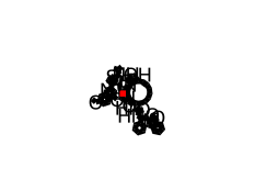 COc1ccc2c(O[C@@H]3C[C@H]4C(=O)N[C@]5(C(=O)O)CC5/C=C\CCCCC[C@H](NC(=O)NC(CN5Cc6ccccc6S5(=O)=O)C5CCCCC5)C(=O)N4C3)cc(-c3csc(NC(C)C)n3)nc2c1